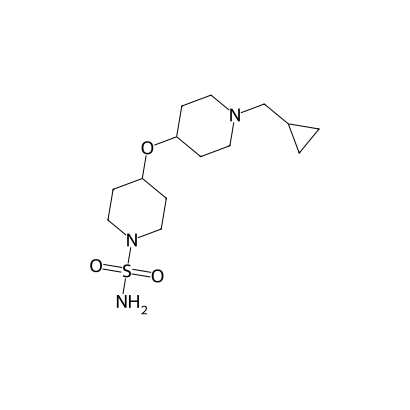 NS(=O)(=O)N1CCC(OC2CCN(CC3CC3)CC2)CC1